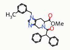 COC(=O)C1Cc2c(ncn2Cc2cccc(C)c2)CN1C(=O)C(c1ccccc1)c1ccccc1